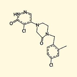 Cc1cc(Cl)ccc1CN1CCN(c2cn[nH]c(=O)c2Cl)CC1=O